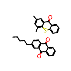 CCCCCc1ccc2c(c1)C(=O)c1ccccc1C2=O.Cc1cc(C)c2sc3ccccc3c(=O)c2c1